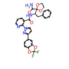 NC(=O)C1(C(Cc2ccccc2)NC(=O)c2cccnc2-n2ccc(-c3ccc4c(c3)OC(F)(F)O4)n2)OCCO1